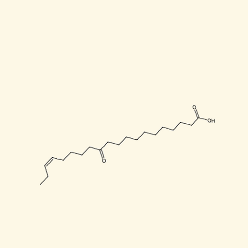 CC/C=C\CCCCC(=O)CCCCCCCCCCC(=O)O